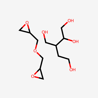 C(OCC1CO1)C1CO1.OCCC(CO)C(O)CO